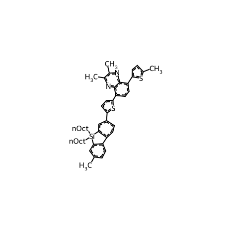 CCCCCCCC[Si]1(CCCCCCCC)c2cc(C)ccc2-c2ccc(-c3ccc(-c4ccc(-c5ccc(C)s5)c5nc(C)c(C)nc45)s3)cc21